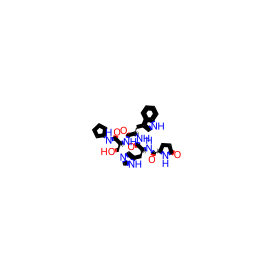 O=C1CC[C@@H](C(=O)N[C@@H](Cc2cnc[nH]2)C(=O)N[C@@H](Cc2c[nH]c3ccccc23)C(=O)N[C@@H](CO)C(=O)NC2CCCC2)N1